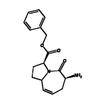 N[C@H]1CC=CC2CC[C@@H](C(=O)OCc3ccccc3)N2C1=O